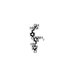 Nc1nc(CNc2ncc(Cl)cn2)cc(Oc2ccc(CCNC(=O)O)cc2)n1